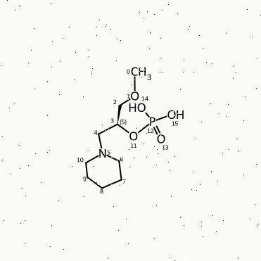 COC[C@H](CN1CCCCC1)OP(=O)(O)O